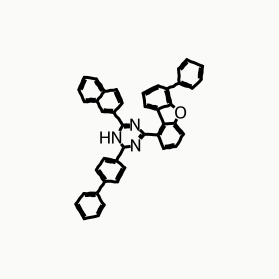 c1ccc(-c2ccc(C3N=C(c4cccc5oc6c(-c7ccccc7)cccc6c45)N=C(c4ccc5ccccc5c4)N3)cc2)cc1